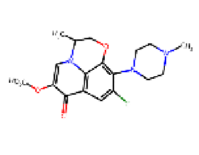 CC1COc2c(N3CCN(C)CC3)c(F)cc3c(=O)c(OC(=O)O)cn1c23